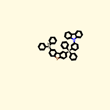 c1ccc([SiH](c2ccccc2)c2ccc3sc4ccc([Si](c5ccccc5)(c5ccccc5)c5cccc(-n6c7ccccc7c7ccccc76)c5)cc4c3c2)cc1